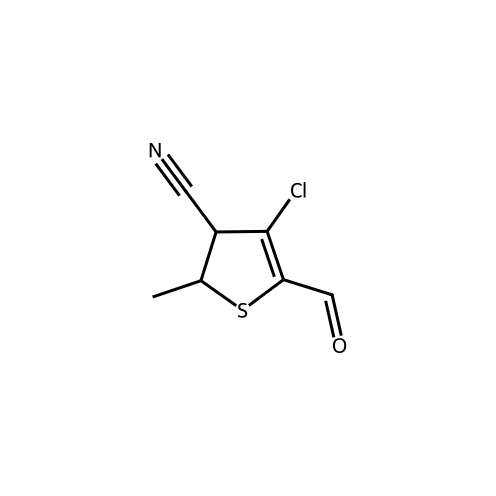 CC1SC(C=O)=C(Cl)C1C#N